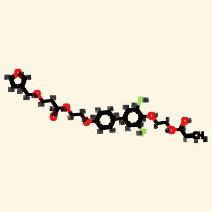 C=CC(=O)OCCOc1c(F)cc(-c2ccc(OCCOC(=O)CCOCc3ccoc3)cc2)cc1F